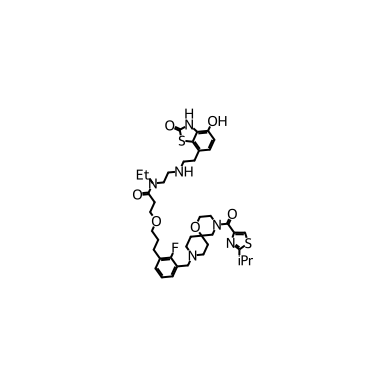 CCN(CCNCCc1ccc(O)c2[nH]c(=O)sc12)C(=O)CCOCCCc1cccc(CN2CCC3(CC2)CN(C(=O)c2csc(C(C)C)n2)CCO3)c1F